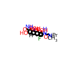 CC(C)N(C)CC(=O)Nc1cc(F)c2c(c1O)C(=O)C1=C(O)[C@]3(O)C(=O)C(C(N)=O)=C(O)C[C@@H]3CC1C2